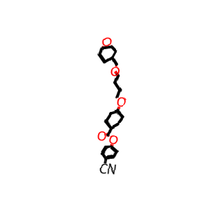 N#Cc1ccc(OC(=O)C2CCC(OCCCCOCC3CCC4OC4C3)CC2)cc1